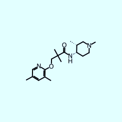 Cc1cnc(OCC(C)(C)C(=O)N[C@H]2CCN(C)C[C@H]2C)c(C)c1